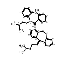 CN(C)CCC=C1c2ccccc2CCc2ccccc21.CN(C)CCN1C(=O)c2ccccc2N(C)c2ccccc21